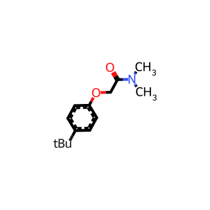 CN(C)C(=O)COc1ccc(C(C)(C)C)cc1